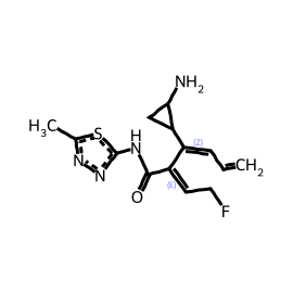 C=C/C=C(\C(=C/CF)C(=O)Nc1nnc(C)s1)C1CC1N